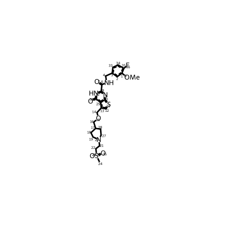 COc1cc(CNC(=O)c2nc3scc(COCC4CCN(CCS(C)(=O)=O)CC4)c3c(=O)[nH]2)ccc1F